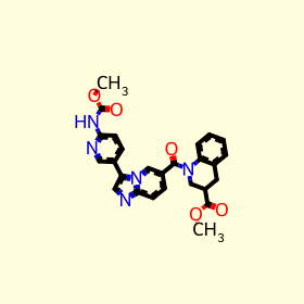 COC(=O)Nc1ccc(-c2cnc3ccc(C(=O)N4CC(C(=O)OC)Cc5ccccc54)cn23)cn1